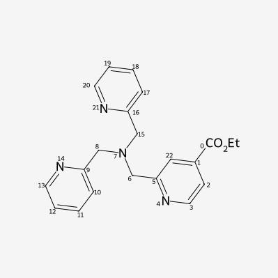 CCOC(=O)c1ccnc(CN(Cc2ccccn2)Cc2ccccn2)c1